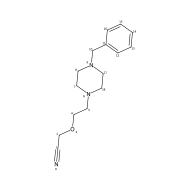 N#CCOCCN1CCN(Cc2ccccc2)CC1